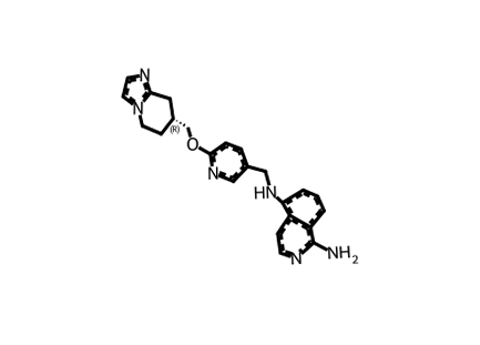 Nc1nccc2c(NCc3ccc(OC[C@@H]4CCn5ccnc5C4)nc3)cccc12